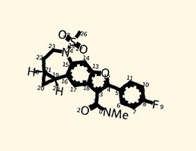 CNC(=O)c1c(-c2ccc(F)cc2)oc2cc3c(cc12)[C@@H]1C[C@@H]1CCN3S(C)(=O)=O